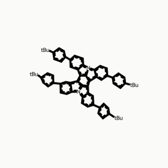 CC(C)(C)c1ccc(-c2ccc3c(c2)c2c4c5cc(-c6ccc(C(C)(C)C)cc6)ccc5n5c6ccc(-c7ccc(C(C)(C)C)cc7)cc6c(c6c7cc(-c8ccc(C(C)(C)C)cc8)ccc7n3c26)c45)cc1